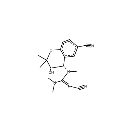 CN(C)/C(=N/C#N)N(C)[C@H]1c2cc(C#N)ccc2OC(C)(C)[C@@H]1O